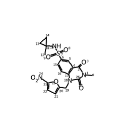 Cn1c(=O)c2cc(S(=O)(=O)NC3(C)CC3)ccc2n(Cc2ccc([N+](=O)[O-])o2)c1=O